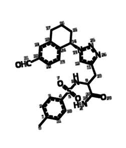 Cc1ccc(S(=O)(=O)NC(Cc2cn([C@@H]3CCCc4cc(C=O)ccc43)nn2)C(N)=O)cc1